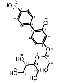 O=C(O)c1ccc(-c2ccc(O[C@H](CO)OC(CO)[C@@H](O)CO)cc2Cl)cc1